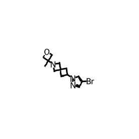 CC1(N2CC3(CC(n4cc(Br)cn4)C3)C2)COC1